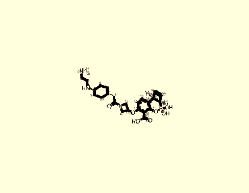 [NH3+]CCN[C@H]1CC[C@H](CC(=O)N2CC(Oc3ccc4c(c3C(=O)O)O[B-](O)(O)[C@@H]3C#C[C@H]43)C2)CC1